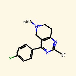 CCCCN1CCc2nc(C(C)C)nc(-c3ccc(F)cc3)c2C1